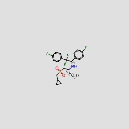 O=C(O)[C@H](CS(=O)(=O)CC1CC1)N[C@@H](c1ccc(F)cc1)C(F)(F)c1ccc(F)cc1